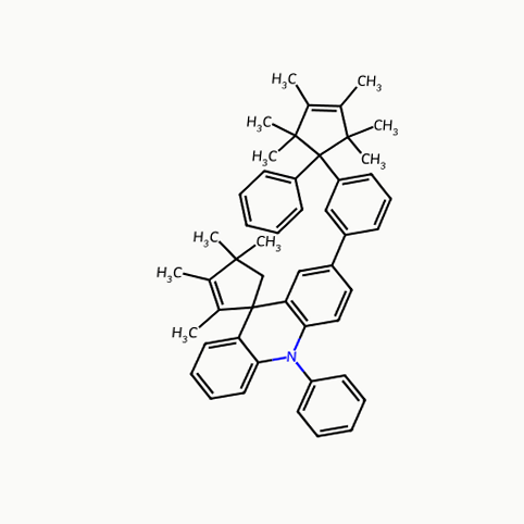 CC1=C(C)C2(CC1(C)C)c1ccccc1N(c1ccccc1)c1ccc(-c3cccc(C4(c5ccccc5)C(C)(C)C(C)=C(C)C4(C)C)c3)cc12